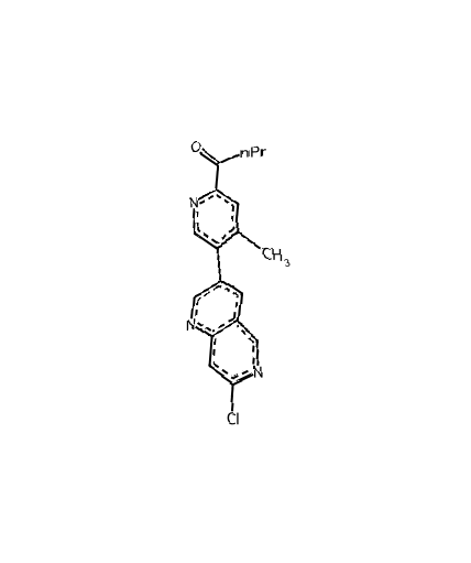 CCCC(=O)c1cc(C)c(-c2cnc3cc(Cl)ncc3c2)cn1